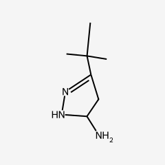 CC(C)(C)C1=NNC(N)C1